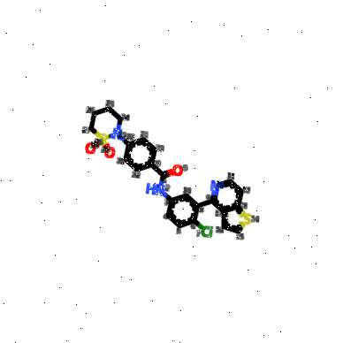 O=C(Nc1ccc(Cl)c(-c2nccc3sccc23)c1)c1ccc(N2CCCCS2(=O)=O)cc1